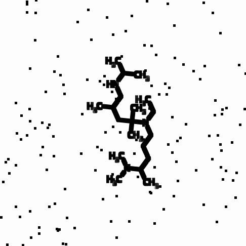 CCN(CCCC(C)N(C)C)C(C)(C)CC(C)CNC(C)C